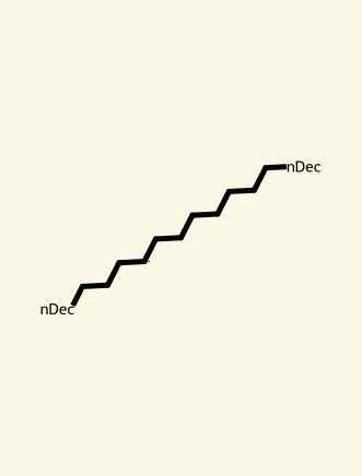 CCCCCCCCCCCCC[CH]CCCCCCCCCCCCCCCCC